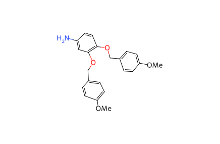 COc1ccc(COc2ccc(N)cc2OCc2ccc(OC)cc2)cc1